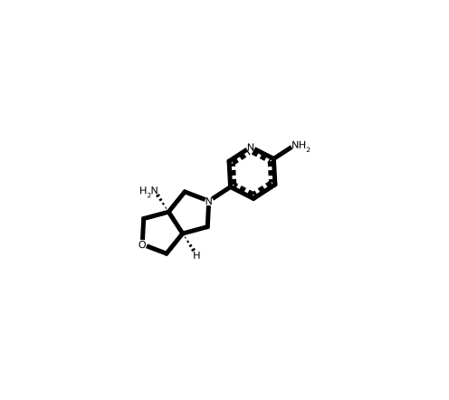 Nc1ccc(N2C[C@H]3COC[C@@]3(N)C2)cn1